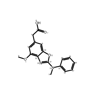 COc1cc(CC(=O)O)cc2oc(N(C)c3ccccc3)nc12